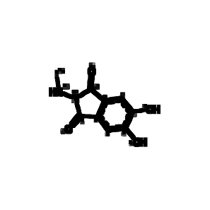 O=C1c2cc(O)c(O)cc2C(=O)N1NI